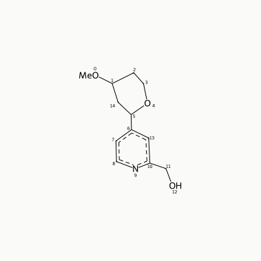 COC1CCOC(c2ccnc(CO)c2)C1